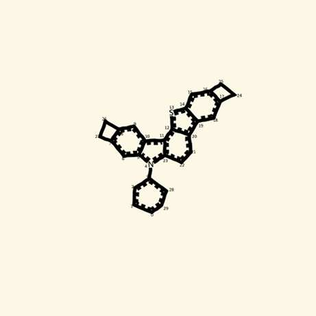 c1ccc(-n2c3cc4c(cc3c3c5sc6cc7c(cc6c5ccc32)CC7)CC4)cc1